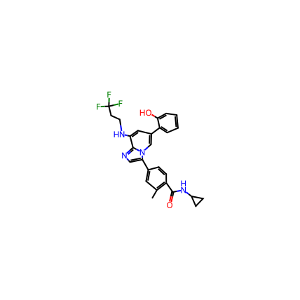 Cc1cc(-c2cnc3c(NCCC(F)(F)F)cc(-c4ccccc4O)cn23)ccc1C(=O)NC1CC1